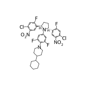 O=[N+]([O-])c1cc([C@H]2CC[C@H](c3cc([N+](=O)[O-])c(Cl)cc3F)N2c2cc(F)c(N3CCC(C4CCCCC4)CC3)c(F)c2)c(F)cc1Cl